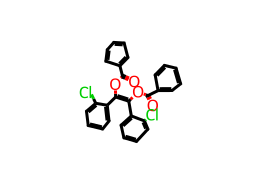 O=C(OC(=C(OC(=O)c1ccccc1)c1ccccc1Cl)c1ccccc1Cl)c1ccccc1